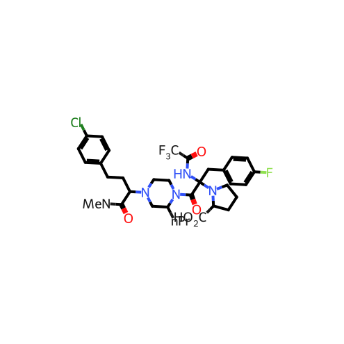 CCCC1CN(C(CCc2ccc(Cl)cc2)C(=O)NC)CCN1C(=O)C(Cc1ccc(F)cc1)(NC(=O)C(F)(F)F)N1CCCC1C(=O)O